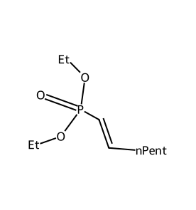 CCCCCC=CP(=O)(OCC)OCC